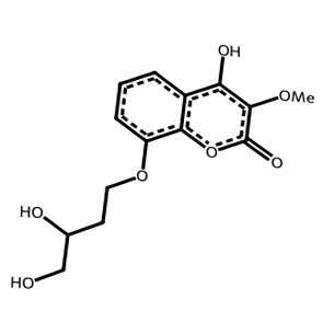 COc1c(O)c2cccc(OCCC(O)CO)c2oc1=O